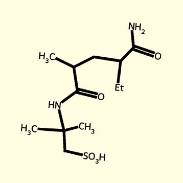 CCC(CC(C)C(=O)NC(C)(C)CS(=O)(=O)O)C(N)=O